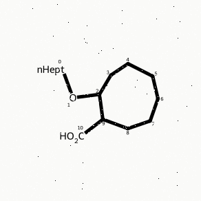 CCCCCCCOC1CCCCCCC1C(=O)O